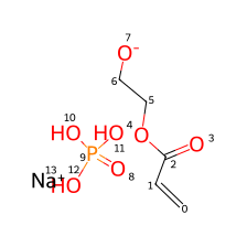 C=CC(=O)OCC[O-].O=P(O)(O)O.[Na+]